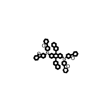 C1=CC2Oc3cc(N(c4ccc5c(c4)oc4ccccc45)c4ccc5c(-c6ccc7ccccc7c6)c6cc(N(c7ccc8c(c7)oc7ccccc78)c7ccc8c(c7)oc7ccccc78)ccc6c(-c6ccc7ccccc7c6)c5c4)ccc3C2C=C1